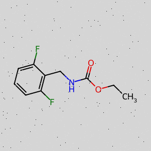 CCOC(=O)NCc1c(F)cccc1F